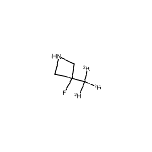 [2H]C([2H])([2H])C1(F)CNC1